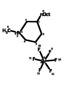 CCCCCCCCC1CCC[NH+](C)C1.[F][Sb-]([F])([F])([F])([F])[F]